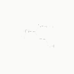 CC(C)(C)NC(NC(C)(C)C)OC[SiH3]